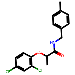 Cc1ccc(CNC(=O)C(C)Oc2ccc(Cl)cc2Cl)cc1